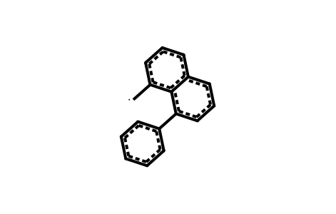 [CH2]c1cccc2cccc(-c3ccccc3)c12